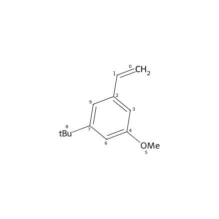 C=[C]c1cc(OC)cc(C(C)(C)C)c1